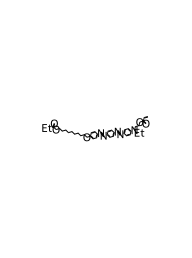 C=CC(=O)OCCN(CC)c1ccc(N=Nc2ccc(N=Nc3ccc(OCCCCCCCCCOC(=O)CC)cc3)cc2)cc1